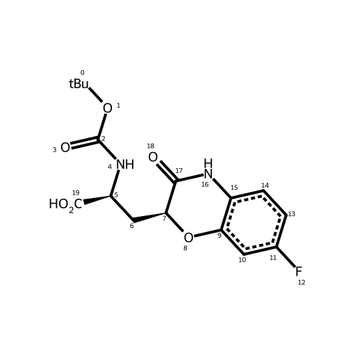 CC(C)(C)OC(=O)N[C@@H](C[C@@H]1Oc2cc(F)ccc2NC1=O)C(=O)O